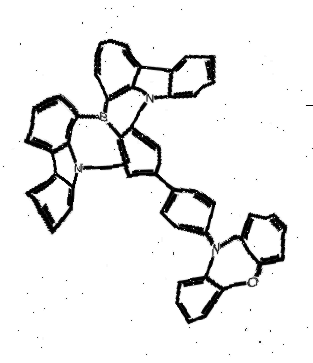 c1ccc2c(c1)Oc1ccccc1N2c1ccc(-c2cc3c4c(c2)-n2c5ccccc5c5cccc(c52)B4c2cccc4c5ccccc5n-3c24)cc1